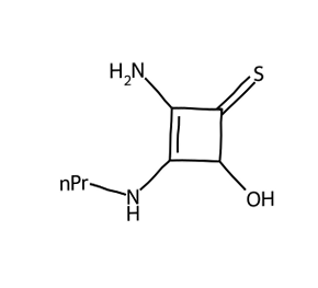 CCCNC1=C(N)C(=S)C1O